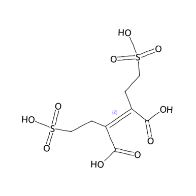 O=C(O)/C(CCS(=O)(=O)O)=C(/CCS(=O)(=O)O)C(=O)O